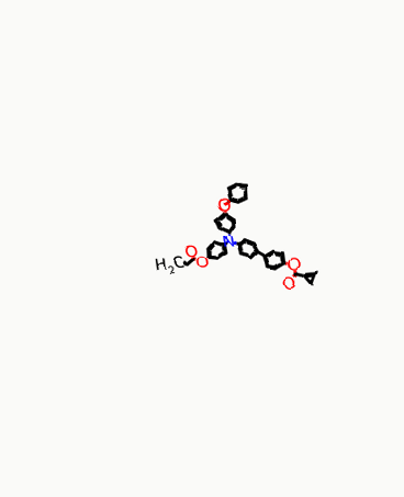 C=CC(=O)Oc1ccc(N(c2ccc(Oc3ccccc3)cc2)c2ccc(-c3ccc(OC(=O)C4=CC4)cc3)cc2)cc1